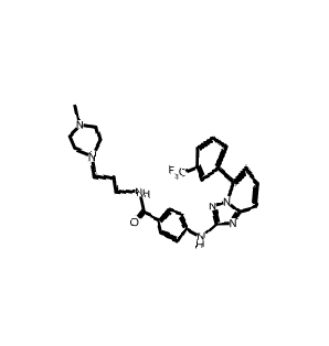 CN1CCN(CCCNC(=O)c2ccc(Nc3nc4cccc(-c5cccc(C(F)(F)F)c5)n4n3)cc2)CC1